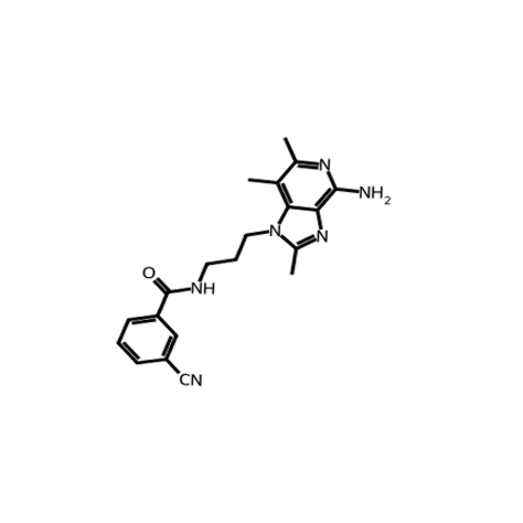 Cc1nc(N)c2nc(C)n(CCCNC(=O)c3cccc(C#N)c3)c2c1C